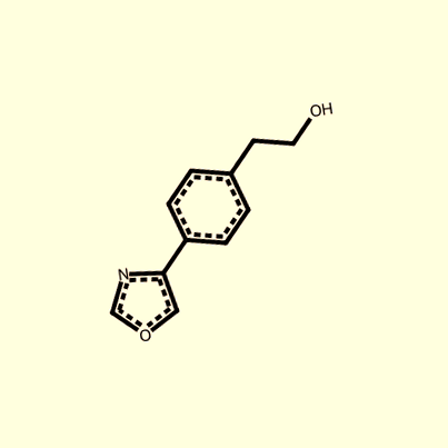 OCCc1ccc(-c2cocn2)cc1